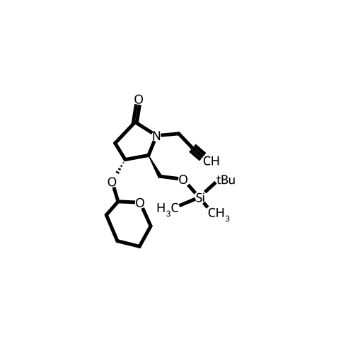 C#CCN1C(=O)C[C@@H](OC2CCCCO2)[C@@H]1CO[Si](C)(C)C(C)(C)C